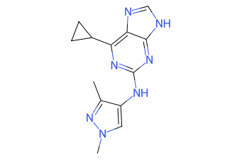 Cc1nn(C)cc1Nc1nc(C2CC2)c2nc[nH]c2n1